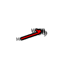 CC(COOCCOCCO)OCC(C)OCC(C)OCC(C)OCC(C)OCC(C)OCC(C)OOCCOCCOCCOCCOCCOCCOCCOCCOCCOCCOCCOCCOCCOCCOCCOCCOCCOCCOCCOCCO